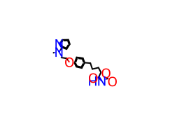 CN(CCOc1ccc(CCCC2OC(=O)NC2=O)cc1)c1ccccn1